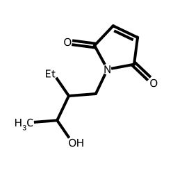 CCC(CN1C(=O)C=CC1=O)C(C)O